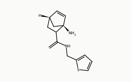 C=C(NCc1cccs1)C1C[C@@H]2C=C[C@@]1(N)C2